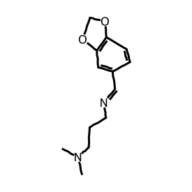 CN(C)CCCN=Cc1ccc2c(c1)OCO2